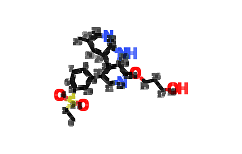 CCS(=O)(=O)c1cccc(-c2cnc(OCCCO)c3[nH]c4ncc(C)cc4c23)c1